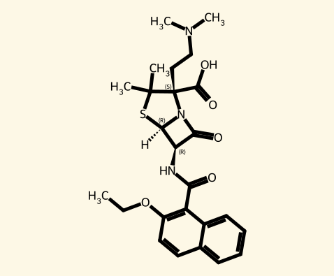 CCOc1ccc2ccccc2c1C(=O)N[C@@H]1C(=O)N2[C@@H]1SC(C)(C)[C@]2(CCN(C)C)C(=O)O